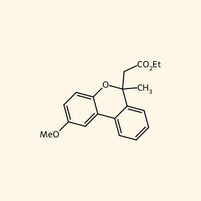 CCOC(=O)CC1(C)Oc2ccc(OC)cc2-c2ccccc21